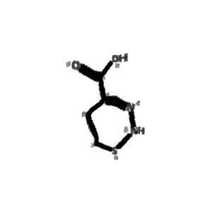 O=C(O)C1=NNSCC1